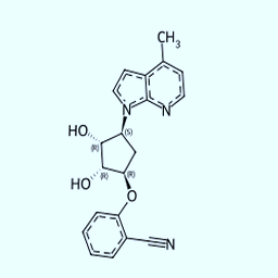 Cc1ccnc2c1ccn2[C@H]1C[C@@H](Oc2ccccc2C#N)[C@H](O)[C@@H]1O